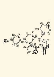 CN1CCN(C(c2ccc(-c3ccc(F)cc3)cc2)c2cn[nH]c2-c2ccco2)CC1